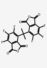 CC(C)(c1c(F)c(F)c(F)c2c1C(=O)OC2=O)c1c(F)c(F)c(F)c2c1C(=O)OC2=O